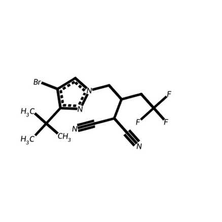 CC(C)(C)c1nn(CC(CC(F)(F)F)C(C#N)C#N)cc1Br